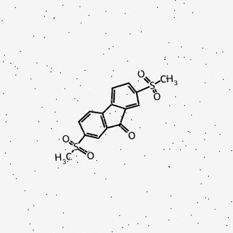 CS(=O)(=O)c1ccc2c(c1)C(=O)c1cc(S(C)(=O)=O)ccc1-2